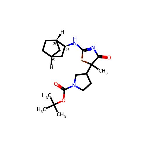 CC(C)(C)OC(=O)N1CCC(C2(C)SC(N[C@H]3C[C@@H]4CC[C@H]3C4)=NC2=O)C1